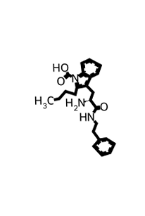 CCCCc1c(C[C@@H](N)C(=O)NCCc2ccccc2)c2ccccc2n1C(=O)O